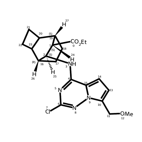 CCOC(=O)[C@@H]1[C@@H](Nc2nc(Cl)nn3c(COC)ccc23)[C@@H]2CC[C@H]1C1CCC12